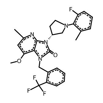 COc1cc(C)nc2c1n(Cc1ccccc1C(F)(F)F)c(=O)n2[C@@H]1CCN(c2c(C)cccc2F)C1